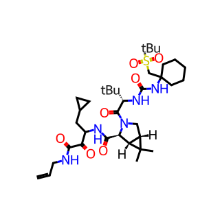 C=CCNC(=O)C(=O)C(CC1CC1)NC(=O)[C@@H]1[C@@H]2[C@H](CN1C(=O)[C@@H](NC(=O)NC1(CS(=O)(=O)C(C)(C)C)CCCCC1)C(C)(C)C)C2(C)C